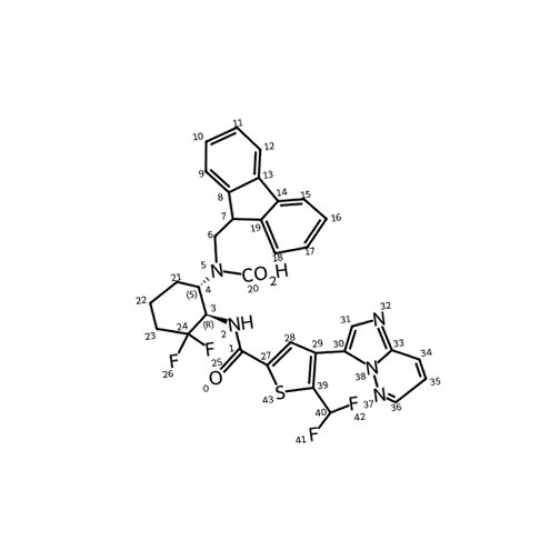 O=C(N[C@@H]1[C@@H](N(CC2c3ccccc3-c3ccccc32)C(=O)O)CCCC1(F)F)c1cc(-c2cnc3cccnn23)c(C(F)F)s1